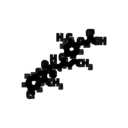 CCCC(CNS(=O)(=O)c1sc2ccc(Cl)cc2c1C)Oc1ccc(OCC(=O)O)c(C)c1